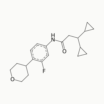 O=C(CC(C1CC1)C1CC1)Nc1ccc(C2CCOCC2)c(F)c1